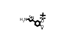 COc1ccc(-c2cc(N)sn2)cc1O[Si](C)(C)C(C)(C)C